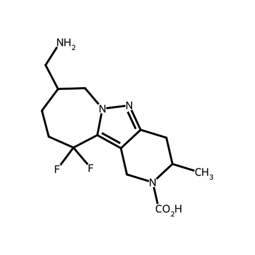 CC1Cc2nn3c(c2CN1C(=O)O)C(F)(F)CCC(CN)C3